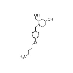 CCCCCOc1ccc(CN2CCC(O)CC2CO)cc1